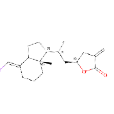 C=C1C[C@H](C[C@@H](C)[C@H]2CCC3C(=CI)CCC[C@]32C)OC1=O